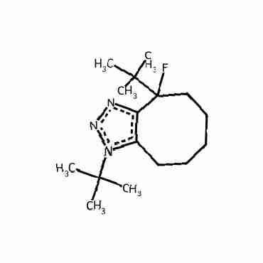 CC(C)(C)n1nnc2c1CCCCCC2(F)C(C)(C)C